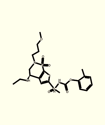 CCN[C@H]1CN(CCCOC)S(=O)(=O)c2sc([SH](C)(=O)NC(=O)Oc3ccccc3C)cc21